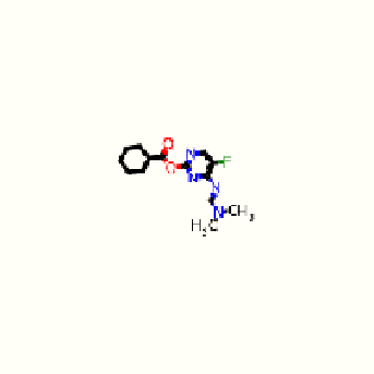 CN(C)/C=N/c1nc(OC(=O)C2CCCCC2)ncc1F